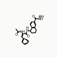 CC(=O)N/C(=C/c1ccccc1)C(=O)NC1CCCc2cc(C(=O)NO)ccc21